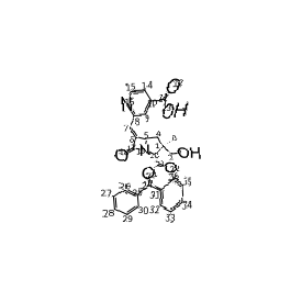 C[C@@]1(CO)CC2/C(=C\c3cc(C(=O)O)ccn3)C(=O)N2[C@H]1C(=O)OC(c1ccccc1)c1ccccc1